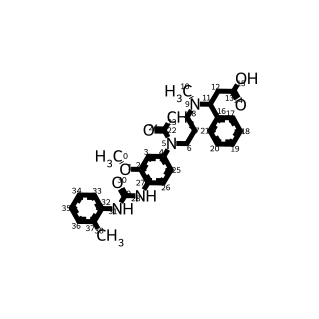 COc1cc(N(CCCN(C)C(CC(=O)O)c2ccccc2)C(C)=O)ccc1NC(=O)Nc1ccccc1C